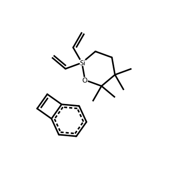 C1=Cc2ccccc21.C=C[Si]1(C=C)CCC(C)(C)C(C)(C)O1